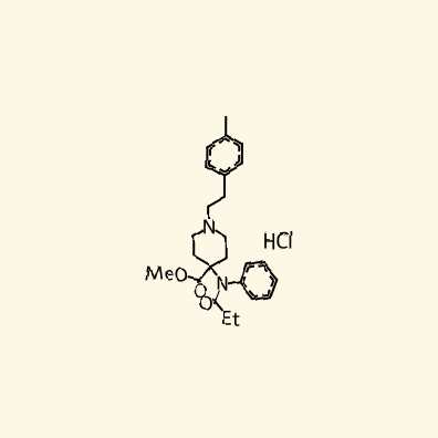 CCC(=O)N(c1ccccc1)C1(C(=O)OC)CCN(CCc2ccc(C)cc2)CC1.Cl